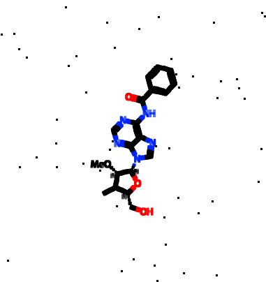 CO[C@H]1C(C)[C@@H](CO)O[C@H]1n1cnc2c(NC(=O)c3ccccc3)ncnc21